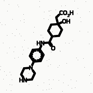 O=C(O)CC1(O)CCC(C(=O)Nc2ccc(N3CCNCC3)cc2)CC1